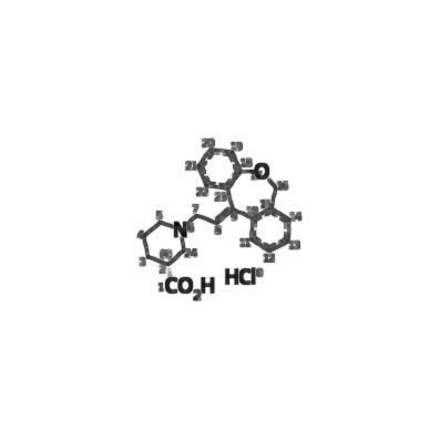 Cl.O=C(O)[C@@H]1CCCN(CC=C2c3ccccc3COc3ccccc32)C1